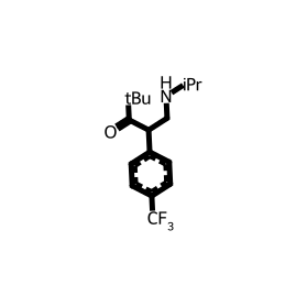 CC(C)NCC(C(=O)C(C)(C)C)c1ccc(C(F)(F)F)cc1